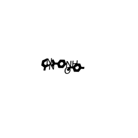 Cc1ccc(C(=O)Nc2ccc(-c3cn4cccc(C)c4n3)cc2)cc1